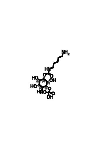 NCCCCCNC(=O)O[C@@H]1[C@H](O)[C@H](OP(=O)(O)O)[C@@H](O)[C@H](O)[C@H]1O